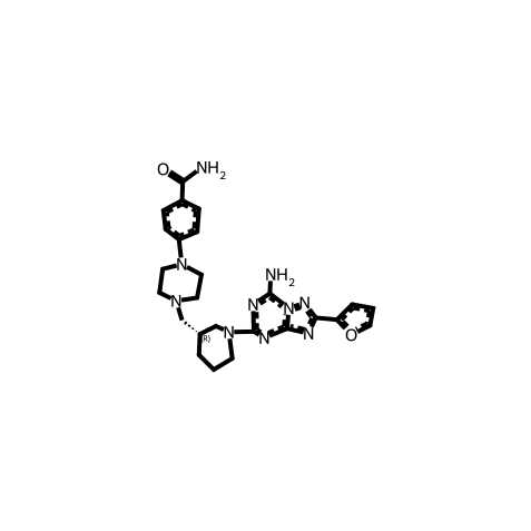 NC(=O)c1ccc(N2CCN(C[C@H]3CCCN(c4nc(N)n5nc(-c6ccco6)nc5n4)C3)CC2)cc1